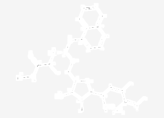 C/N=C(N)\C(C)=C/N(C=O)C1OC(CO[P@](NC(C)C(=O)OC(C)C)Oc2cccc3ccccc23)C(O)C1C